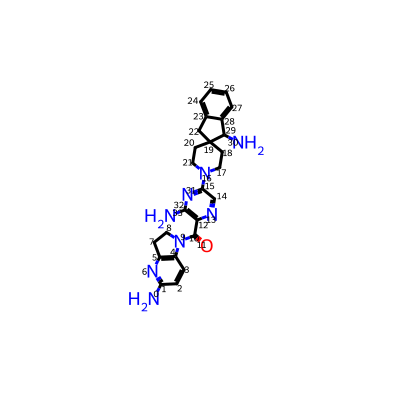 Nc1ccc2c(n1)CCN2C(=O)c1ncc(N2CCC3(CC2)Cc2ccccc2C3N)nc1N